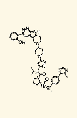 Cc1ncsc1-c1ccc([C@H](C)NC(=O)[C@@H]2CCCN2C(=O)[C@@H](c2cc(N3CCC(N4CCc5[nH]c6nnc(-c7ccccc7O)cc6c5C4)CC3)no2)C(C)C)cc1